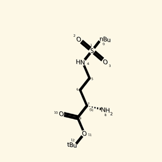 CCCCS(=O)(=O)NCC[C@H](N)C(=O)OC(C)(C)C